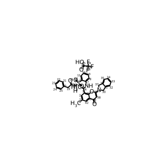 Cc1cc(C(C)Nc2ccccc2S(=O)(=O)NC(=O)Cc2ccccc2)c2oc(N3Cc4ccccc4C3)cc(=O)c2c1.O=C(O)C(F)(F)F